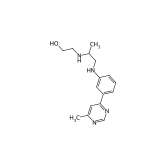 Cc1cc(-c2cccc(NCC(C)NCCO)c2)ncn1